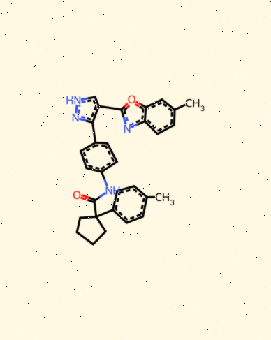 Cc1ccc(C2(C(=O)Nc3ccc(-c4n[nH]cc4-c4nc5ccc(C)cc5o4)cc3)CCCC2)cc1